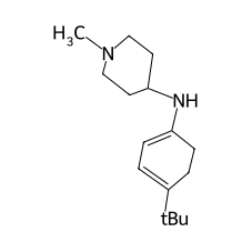 CN1CCC(NC2=CC=C(C(C)(C)C)CC2)CC1